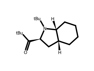 CC(C)(C)C(=O)[C@@H]1C[C@H]2CCCC[C@H]2N1C(C)(C)C